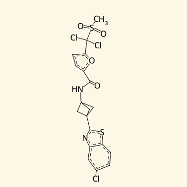 CS(=O)(=O)C(Cl)(Cl)c1ccc(C(=O)NC23CC(c4nc5cc(Cl)ccc5s4)(C2)C3)o1